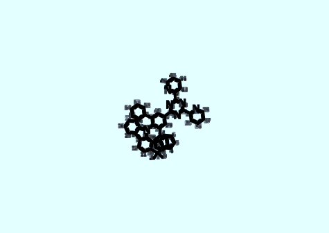 CC1(C)c2ccccc2-c2c1ccc1c3ccccc3n(-c3c(-c4ccccc4)cc(-c4nc(-c5ccccn5)nc(-c5ccccn5)n4)cc3-c3ccccc3)c21